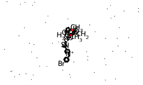 C=C[C@]12C[C@@H](OC(=O)CSc3nc(-c4cc[n+](Cc5ccc(Br)cc5)cc4)cs3)[C@]3(C)[C@H](C)CC[C@]4(CCC(=O)[C@H]43)[C@@H](C)[C@@H]1O2